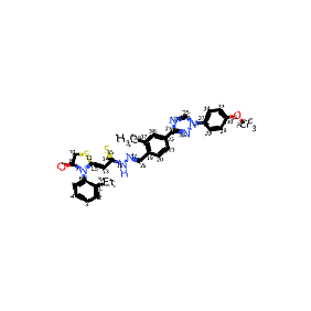 CCc1ccccc1N1C(=O)CS/C1=C\C(=S)N/N=C/c1ccc(-c2ncn(-c3ccc(OC(F)(F)F)cc3)n2)cc1C